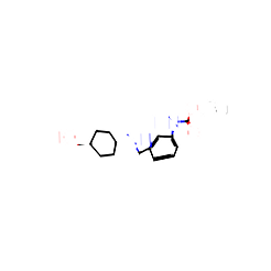 CC(C)(C)OC(=O)Nc1cccc(CN[C@H]2CC[C@H](CO)CC2)c1